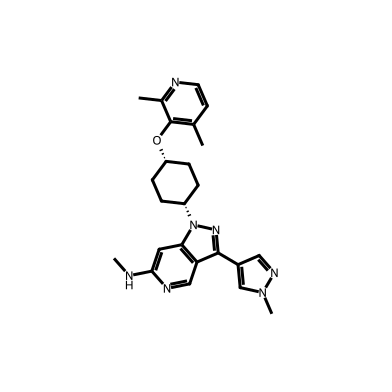 CNc1cc2c(cn1)c(-c1cnn(C)c1)nn2[C@H]1CC[C@@H](Oc2c(C)ccnc2C)CC1